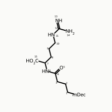 CCCCCCCCCCCCCC(=O)NC(CCCNC(=N)N)C(=O)O